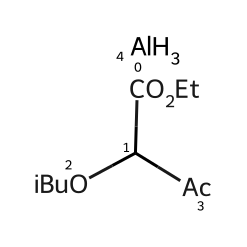 CCOC(=O)C(OCC(C)C)C(C)=O.[AlH3]